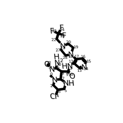 CN1CC(Cl)CNC1C(C(=O)Nc1cnccc1N1CCN(CC(F)(F)F)CC1)C(N)N=O